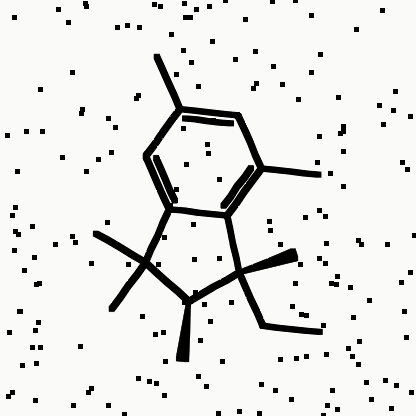 CC[C@@]1(C)c2c(C)cc(C)cc2C(C)(C)[C@@H]1C